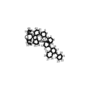 c1ccc(-c2ccccc2N(c2ccc(-c3ccc(-c4ccccc4)c4ccccc34)cc2)c2cccc3c2-c2ccccc2C32c3ccccc3Oc3ccccc32)cc1